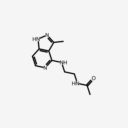 CC(=O)NCCNc1nccc2[nH]nc(C)c12